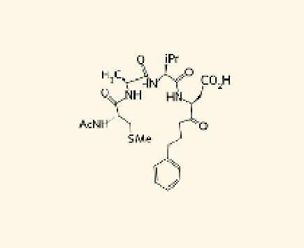 CSC[C@H](NC(C)=O)C(=O)N[C@@H](C)C(=O)N[C@H](C(=O)N[C@@H](CC(=O)O)C(=O)CCCc1ccccc1)C(C)C